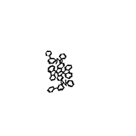 c1ccc(-c2cccc(N(c3ccccc3)c3ccc4c(c3)C3(C5=C4C4(c6cc(N(c7ccccc7)c7cccc(-c8ccccc8)c7)ccc65)c5ccccc5-c5ccccc54)c4ccccc4-c4ccccc43)c2)cc1